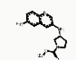 CC(C)(C)OC(=O)N1CC[C@H](Nc2cnc3ccc(O)cc3c2)C1